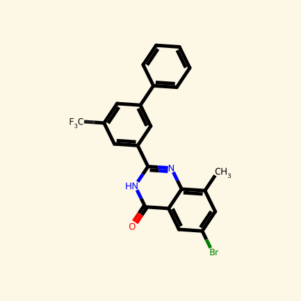 Cc1cc(Br)cc2c(=O)[nH]c(-c3cc(-c4ccccc4)cc(C(F)(F)F)c3)nc12